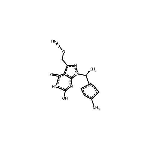 Cc1ccc([C@H](C)n2nc(COB=N)c3c(=O)[nH]c(O)nc32)cc1